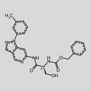 Cc1cccc(-n2ncc3cnc(NC(=O)[C@H](CO)NC(=O)OCc4ccccc4)cc32)c1